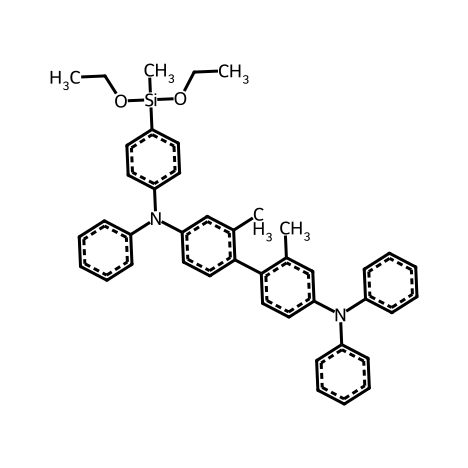 CCO[Si](C)(OCC)c1ccc(N(c2ccccc2)c2ccc(-c3ccc(N(c4ccccc4)c4ccccc4)cc3C)c(C)c2)cc1